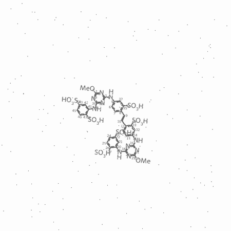 COc1nc(Nc2ccc(C=Cc3ccc(Nc4nc(Nc5cc(S(=O)(=O)O)ccc5S(=O)(=O)O)nc(OC)n4)cc3S(=O)(=O)O)c(S(=O)(=O)O)c2)nc(Nc2cc(S(=O)(=O)O)ccc2S(=O)(=O)O)n1